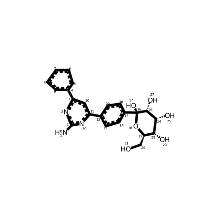 Nc1nc(-c2ccccc2)cc(-c2ccc([C@@]3(O)O[C@H](CO)[C@@H](O)[C@@H](O)[C@H]3O)cc2)n1